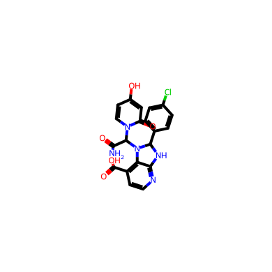 NC(=O)C(N1c2c(C(=O)O)ccnc2NC1c1ccc(Cl)cc1)n1ccc(O)cc1=O